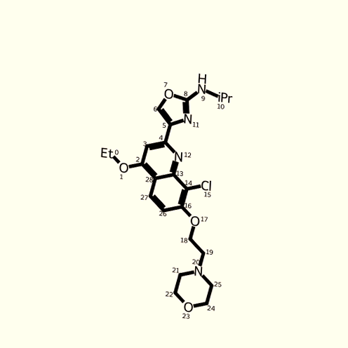 CCOc1cc(-c2coc(NC(C)C)n2)nc2c(Cl)c(OCCN3CCOCC3)ccc12